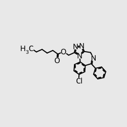 CCCCCC(=O)OCc1nnc2n1-c1ccc(Cl)cc1C(c1ccccc1)=NC2